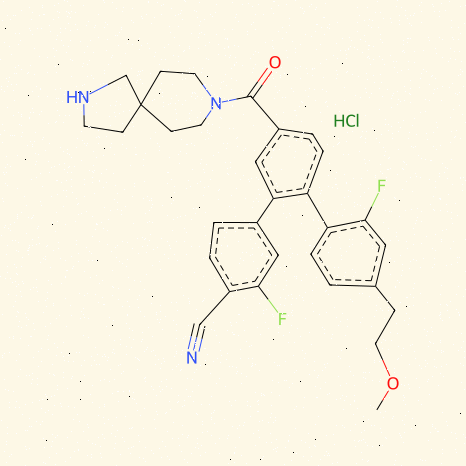 COCCc1ccc(-c2ccc(C(=O)N3CCC4(CCNC4)CC3)cc2-c2ccc(C#N)c(F)c2)c(F)c1.Cl